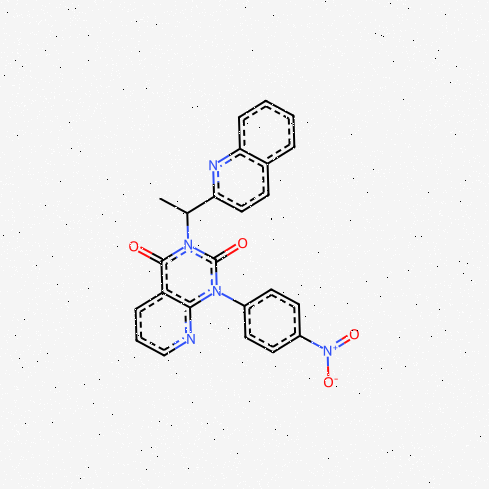 CC(c1ccc2ccccc2n1)n1c(=O)c2cccnc2n(-c2ccc([N+](=O)[O-])cc2)c1=O